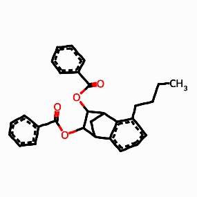 CCCCc1cccc2c1C1CC2C(OC(=O)c2ccccc2)C1OC(=O)c1ccccc1